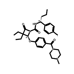 CCC[C@@H](NC(=O)N1C(=O)C(CC)(CC)[C@@H]1Oc1ccc(C(=O)N2CCN(C)CC2)cc1)c1ccc(I)cc1